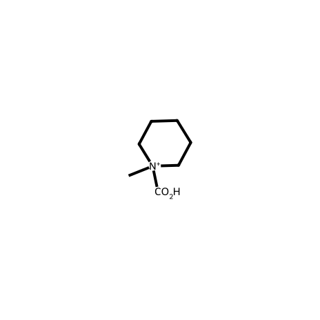 C[N+]1(C(=O)O)CCCCC1